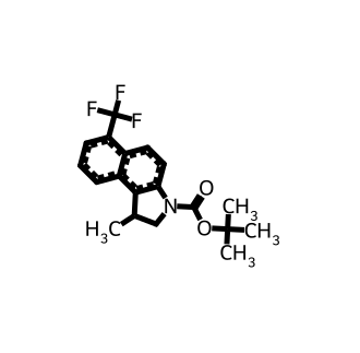 CC1CN(C(=O)OC(C)(C)C)c2ccc3c(C(F)(F)F)cccc3c21